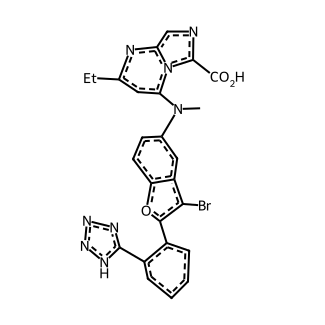 CCc1cc(N(C)c2ccc3oc(-c4ccccc4-c4nnn[nH]4)c(Br)c3c2)n2c(C(=O)O)ncc2n1